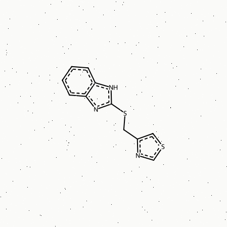 c1ccc2[nH]c(SCc3cscn3)nc2c1